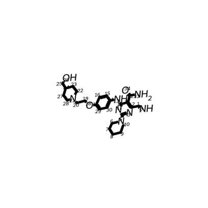 N=Cc1nc(N2CCCCC2)nc(Nc2ccc(OCCN3CCC(CO)CC3)cc2)c1C(N)=O